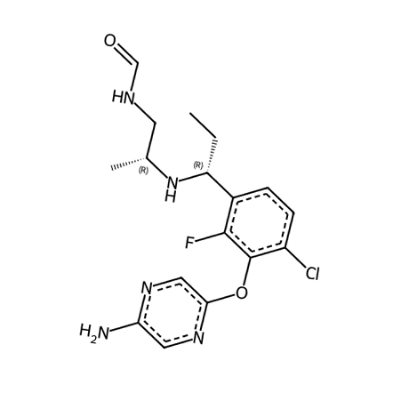 CC[C@@H](N[C@H](C)CNC=O)c1ccc(Cl)c(Oc2cnc(N)cn2)c1F